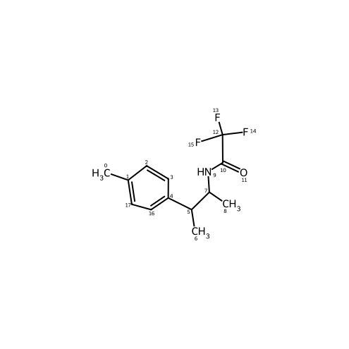 Cc1ccc(C(C)C(C)NC(=O)C(F)(F)F)cc1